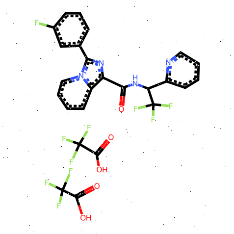 O=C(NC(c1ccccn1)C(F)(F)F)c1nc(-c2cccc(F)c2)n2ccccc12.O=C(O)C(F)(F)F.O=C(O)C(F)(F)F